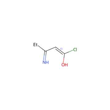 CCC(=N)/C=C(\O)Cl